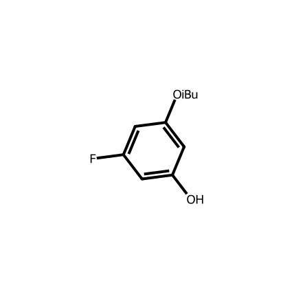 CC(C)COc1cc(O)cc(F)c1